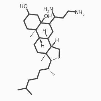 CC(C)CCC[C@@H](C)[C@H]1CC[C@H]2[C@@H]3CC(C(N)CCN)C4(O)CC(O)CC[C@]4(C)[C@H]3CC[C@]12C